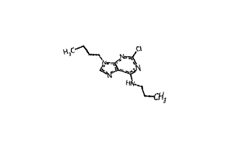 CCCCn1cnc2c(NCCC)nc(Cl)nc21